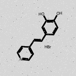 Br.Oc1ccc(/C=C/c2ccncc2)cc1O